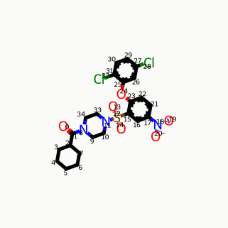 O=C(C1CCCCC1)N1CCN(S(=O)(=O)c2cc([N+](=O)[O-])ccc2Oc2cc(Cl)ccc2Cl)CC1